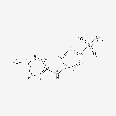 NS(=O)(=O)c1ccc(Nc2ccc(O)cc2)cc1